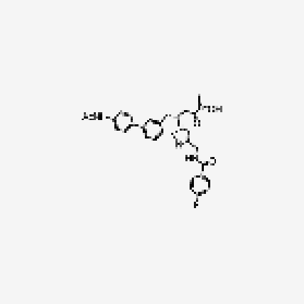 CC(=O)Nc1ccc(-c2cccc(C[C@H](CC(=O)NO)n3cc(CNC(=O)c4ccc(F)cc4)nn3)c2)cc1